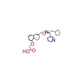 O=C(O)COc1cccc2c1CCC(CON=C(CC1CCCC1)c1cccnc1)=C2